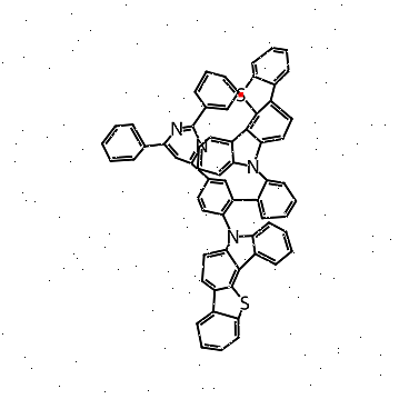 c1ccc(-c2cc(-c3ccc(-n4c5ccccc5c5c6sc7ccccc7c6ccc54)c(-c4ccccc4-n4c5ccccc5c5c6sc7ccccc7c6ccc54)c3)nc(-c3ccccc3)n2)cc1